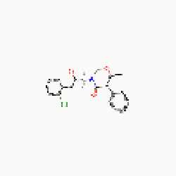 CC1=C(c2ccccc2)C(=O)N(C(C)(C)C(=O)Cc2ccccc2Cl)CO1